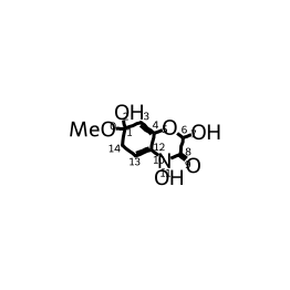 COC1(O)C=C2OC(O)C(=O)N(O)C2=CC1